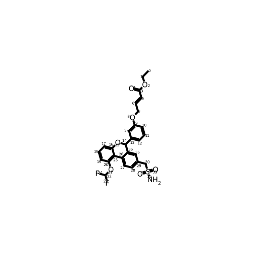 CCOC(=O)C=CCOc1cccc(C2Oc3cccc(OC(F)F)c3-c3ccc(CS(N)(=O)=O)cc32)c1